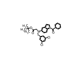 CC(C)(C)OC(=O)CN(Sc1cc(Cl)cc(Cl)c1)c1ccc2c(ccn2C(=O)c2ccccc2)c1